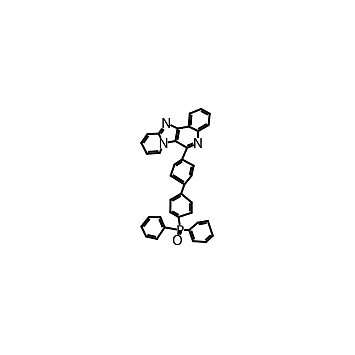 O=P(c1ccccc1)(c1ccccc1)c1ccc(-c2ccc(-c3nc4ccccc4c4nc5ccccn5c34)cc2)cc1